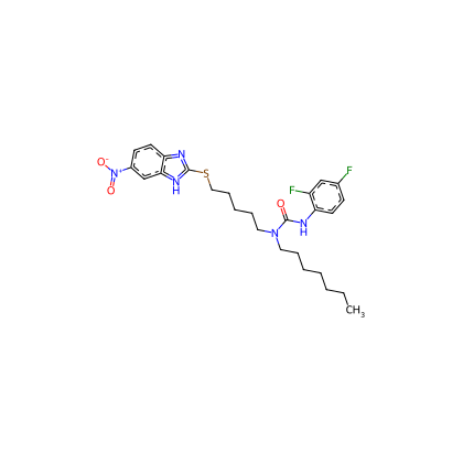 CCCCCCCN(CCCCCSc1nc2ccc([N+](=O)[O-])cc2[nH]1)C(=O)Nc1ccc(F)cc1F